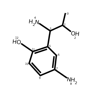 CC(O)C(N)c1cc(N)ccc1O